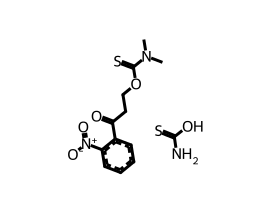 CN(C)C(=S)OCCC(=O)c1ccccc1[N+](=O)[O-].NC(O)=S